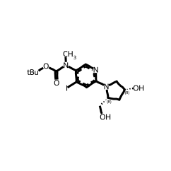 CN(C(=O)OC(C)(C)C)c1cnc(N2C[C@H](O)C[C@@H]2CO)cc1I